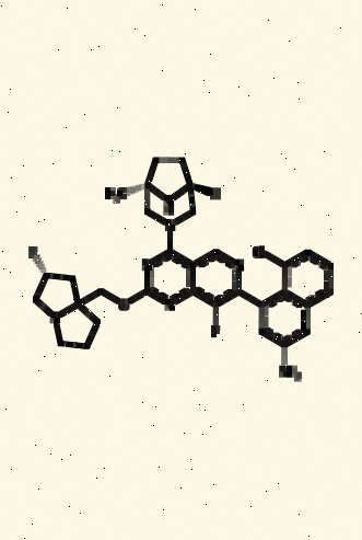 C[C@@]12CC[C@H](CN(c3nc(OCC45CCCN4C[C@H](F)C5)nc4c(F)c(-c5cc(N)cc6cccc(Cl)c56)ncc34)C1)N2